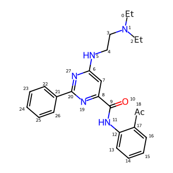 CCN(CC)CCNc1cc(C(=O)Nc2ccccc2C(C)=O)nc(-c2ccccc2)n1